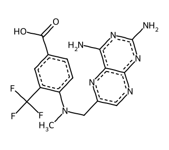 CN(Cc1cnc2nc(N)nc(N)c2n1)c1ccc(C(=O)O)cc1C(F)(F)F